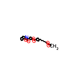 C=CC(=O)OCCCCCCc1ccc(C(=O)Oc2ccc(-c3nc4ccc5ccccc5c4oc3=O)cc2)cc1